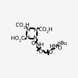 CCCCC(=O)NCCOC(C)(C)CCOC(C)(C)CNC(=O)CN1CCN(CC(=O)O)CCN(CC(=O)O)CCN(CC(=O)O)CC1